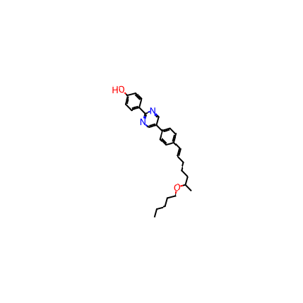 CCCCCOC(C)CCCC=Cc1ccc(-c2cnc(-c3ccc(O)cc3)nc2)cc1